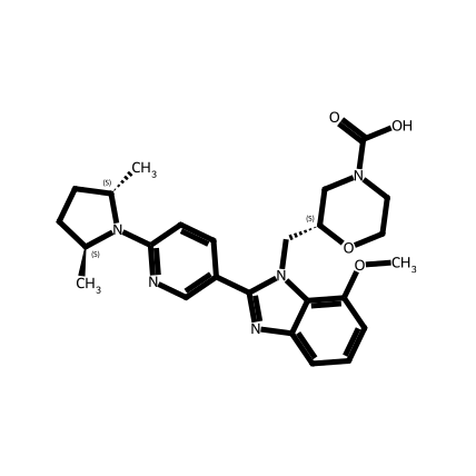 COc1cccc2nc(-c3ccc(N4[C@@H](C)CC[C@@H]4C)nc3)n(C[C@@H]3CN(C(=O)O)CCO3)c12